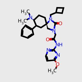 COc1ccnc(NC(=O)CN2C[C@@]3(CC[C@@H](N(C)C)C(c4ccccc4)C3)N(CC3CCC3)C2=O)n1